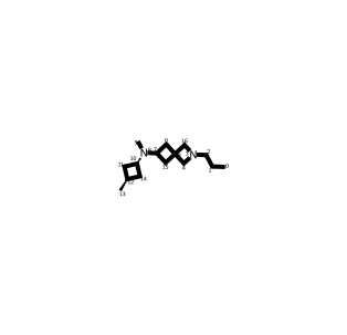 CCCN1CC2(CC(N(C)[C@H]3C[C@H](C)C3)C2)C1